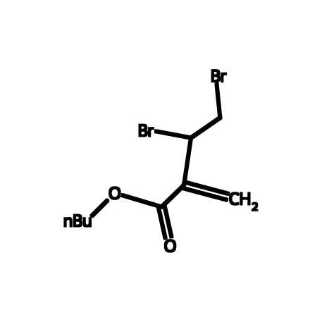 C=C(C(=O)OCCCC)C(Br)CBr